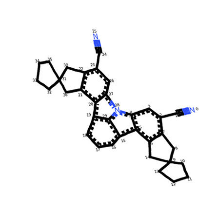 N#Cc1cc2c(c3c1CC1(CCCC1)C3)c1cccc3c4c5c(c(C#N)cc4n2c13)CC1(CCCC1)C5